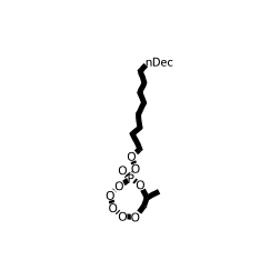 CCCCCCCCCCCCCCCCCCOOP1(=O)OOOOOCC(C)O1